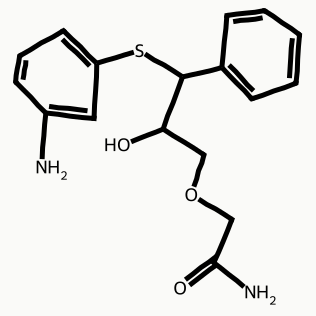 NC(=O)COCC(O)C(Sc1cccc(N)c1)c1ccccc1